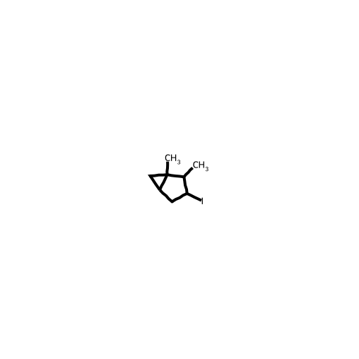 CC1C(I)CC2CC21C